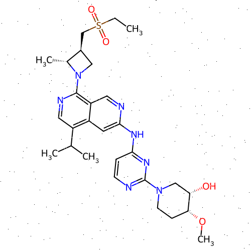 CCS(=O)(=O)C[C@H]1CN(c2ncc(C(C)C)c3cc(Nc4ccnc(N5CC[C@@H](OC)[C@@H](O)C5)n4)ncc23)[C@@H]1C